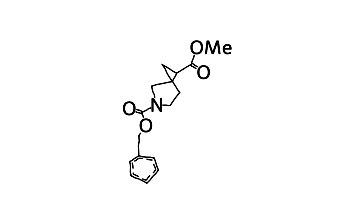 COC(=O)C1CC12CCN(C(=O)OCc1ccccc1)C2